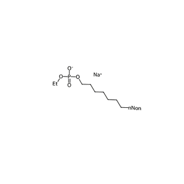 CCCCCCCCCCCCCCCCOP(=O)([O-])OCC.[Na+]